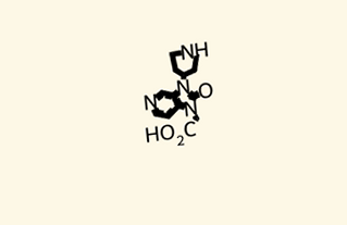 O=C(O)Cn1c(=O)n(C2CCNCC2)c2cnccc21